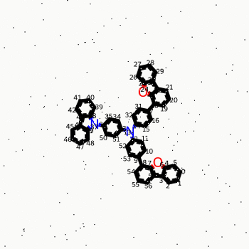 c1ccc2c(c1)oc1c(-c3ccc(N(c4ccc(-c5cccc6c5oc5ccccc56)cc4)c4ccc(-n5c6ccccc6c6ccccc65)cc4)cc3)cccc12